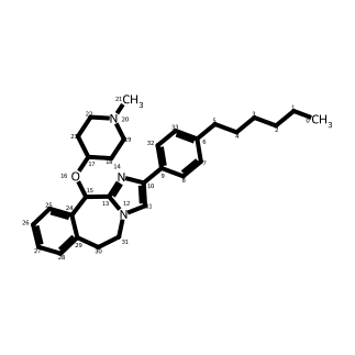 CCCCCCc1ccc(-c2cn3c(n2)C(OC2CCN(C)CC2)c2ccccc2CC3)cc1